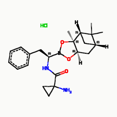 CC1(C)[C@@H]2C[C@H]3OB([C@H](Cc4ccccc4)NC(=O)C4(N)CC4)O[C@@]3(C)[C@H]1C2.Cl